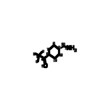 CC(C)(C)C(=O)[C@H]1CC[C@H](CN)CC1